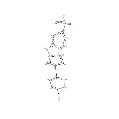 CS(=O)(=O)c1ccc2c(c1)sc1nc(-c3ccc(F)cc3)cn12